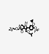 CC(C)COCc1c(-c2ccc(OC(F)F)c(OC3CC3)c2)[nH]c2cnn(COCC[Si](C)(C)C)c(=O)c12